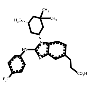 C[C@H]1C[C@@H](n2c(Nc3ccc(C(F)(F)F)cc3)nc3cc(CCC(=O)O)ccc32)CC(C)(C)C1